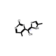 CC1=CS/C(=C(/C#N)c2nc(Cl)ncc2C)N1